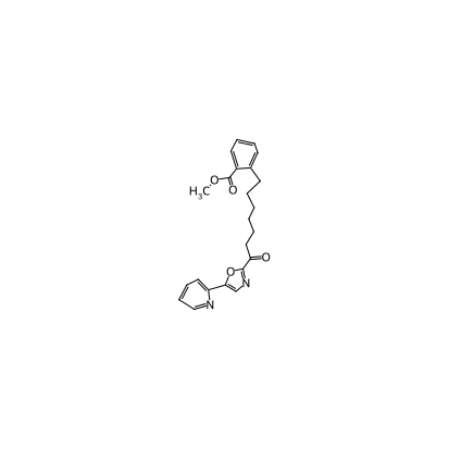 COC(=O)c1ccccc1CCCCCCC(=O)c1ncc(-c2ccccn2)o1